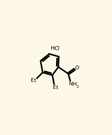 CCc1cccc(C(N)=O)c1CC.Cl